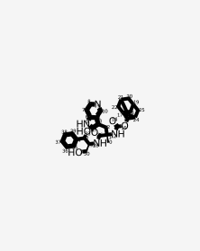 C[C@@](Cc1c[nH]c2ccncc12)(NC(=O)OC1C2CC3CC(C2)CC1C3)C(=O)N[C@@H](CO)C(O)c1ccccc1